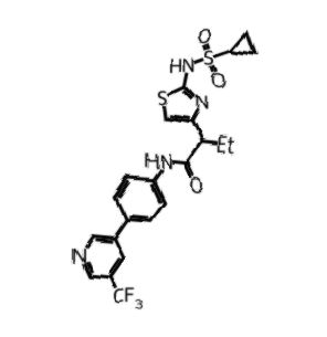 CCC(C(=O)Nc1ccc(-c2cncc(C(F)(F)F)c2)cc1)c1csc(NS(=O)(=O)C2CC2)n1